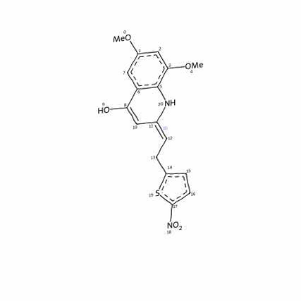 COc1cc(OC)c2c(c1)C(O)=C/C(=C\Cc1ccc([N+](=O)[O-])s1)N2